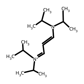 CC(C)N(C=CC=[N+](C(C)C)C(C)C)C(C)C